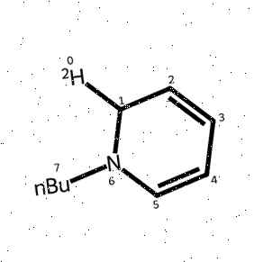 [2H]C1C=CC=CN1CCCC